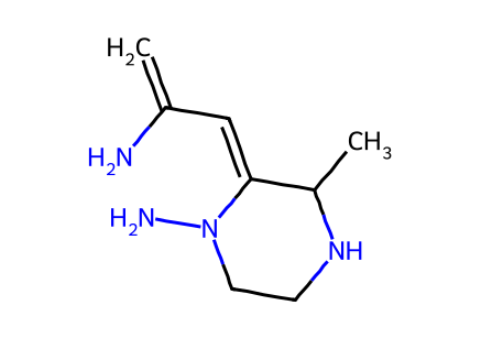 C=C(N)/C=C1/C(C)NCCN1N